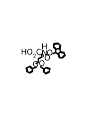 O=C(N[C@@H](CCC(OCc1ccccc1)OCc1ccccc1)C(=O)O)OCC1c2ccccc2-c2ccccc21